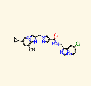 N#Cc1cc(C2CC2)cn2cc(Cn3cc(C(=O)NCc4ncn5ccc(Cl)cc45)cn3)nc12